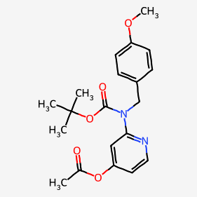 COc1ccc(CN(C(=O)OC(C)(C)C)c2cc(OC(C)=O)ccn2)cc1